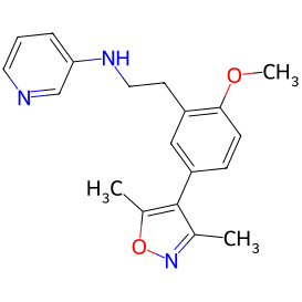 COc1ccc(-c2c(C)noc2C)cc1CCNc1cccnc1